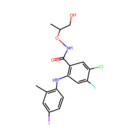 Cc1cc(I)ccc1Nc1cc(F)c(Cl)cc1C(=O)NOC(C)CO